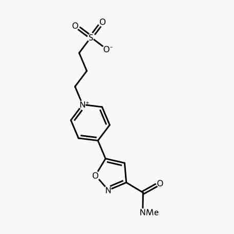 CNC(=O)c1cc(-c2cc[n+](CCCS(=O)(=O)[O-])cc2)on1